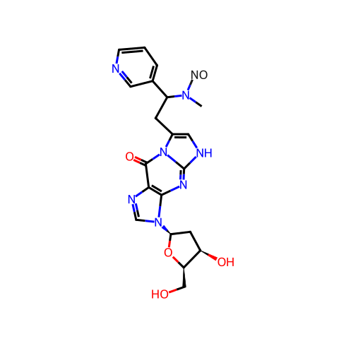 CN(N=O)C(Cc1c[nH]c2nc3c(ncn3[C@H]3C[C@@H](O)[C@@H](CO)O3)c(=O)n12)c1cccnc1